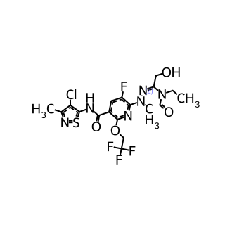 CCN(C=O)/C(CO)=N\N(C)c1nc(OCC(F)(F)F)c(C(=O)Nc2snc(C)c2Cl)cc1F